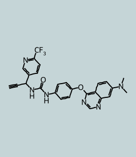 C#CC(NC(=O)Nc1ccc(Oc2ncnc3cc(N(C)C)ccc23)cc1)c1ccc(C(F)(F)F)nc1